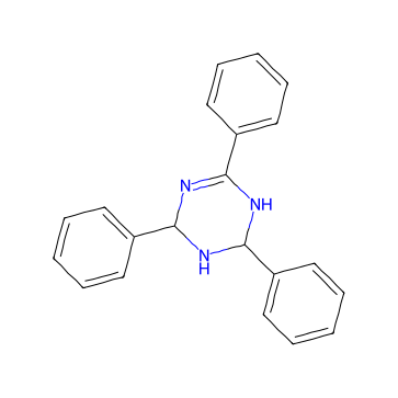 c1ccc(C2=NC(c3ccccc3)NC(c3ccccc3)N2)cc1